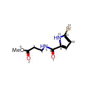 COC(=O)CCNC(=O)c1ccc(Br)[nH]1